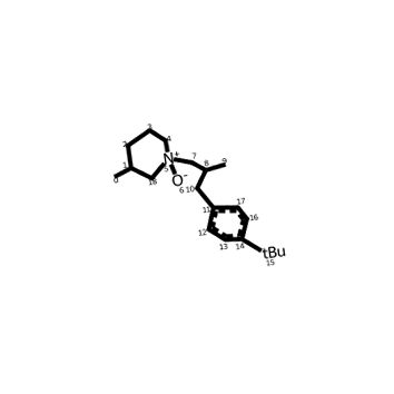 CC1CCC[N+]([O-])(CC(C)Cc2ccc(C(C)(C)C)cc2)C1